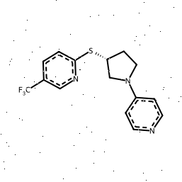 FC(F)(F)c1ccc(S[C@@H]2CCN(c3ccncc3)C2)nc1